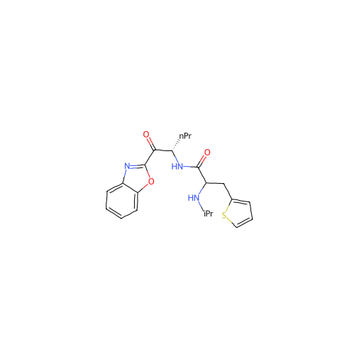 CCC[C@H](NC(=O)C(Cc1cccs1)NC(C)C)C(=O)c1nc2ccccc2o1